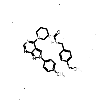 CSc1ccc(CNC(=O)[C@H]2CCCN(c3ncnc4nn(-c5ccc(C)cc5)cc34)C2)cc1